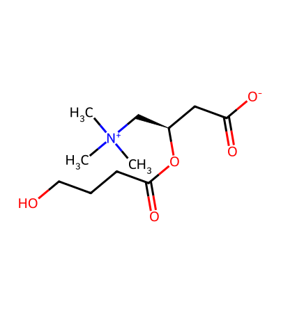 C[N+](C)(C)C[C@@H](CC(=O)[O-])OC(=O)CCCO